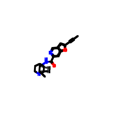 CC#Cc1cc2cnc(C(=O)N[C@@H]3C4CCN(CC4)[C@H]3C)cc2o1